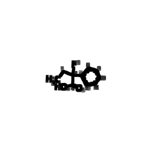 CCC(F)(C(=O)O)c1ccccc1